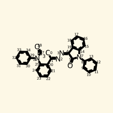 C/C(=N\N=C1/C(=O)N(c2ccccc2)c2ccccc21)c1ccccc1N(C=O)c1ccccc1